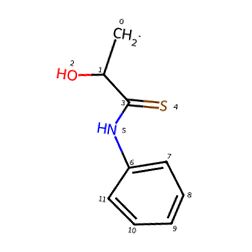 [CH2]C(O)C(=S)Nc1ccccc1